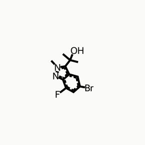 Cn1nc2c(F)cc(Br)cc2c1C(C)(C)O